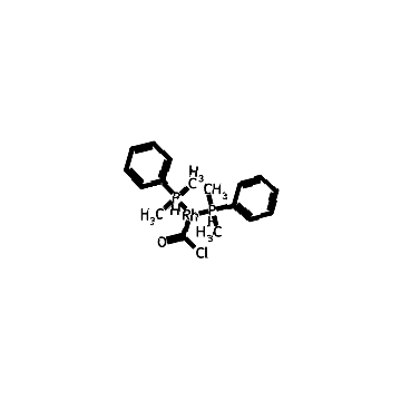 C[PH](C)(c1ccccc1)[Rh]([C](=O)Cl)[PH](C)(C)c1ccccc1